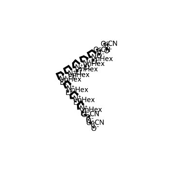 CCCCCC[N+]1(CC)CCCC1.CCCCCC[N+]1(CC)CCCC1.CCCCCC[N+]1(CC)CCCC1.CCCCCC[N+]1(CC)CCCC1.CCCCCC[N+]1(CC)CCCC1.CCCCCC[N+]1(CC)CCCC1.CCCCCC[N+]1(CC)CCCC1.CCCCCC[N+]1(CC)CCCC1.N#CB([O-])[O-].N#CB([O-])[O-].N#CB([O-])[O-].N#CB([O-])[O-]